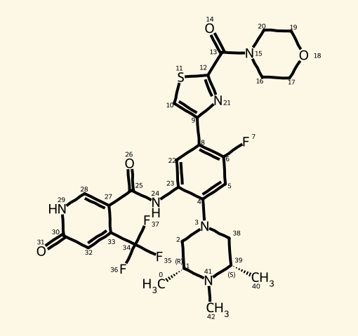 C[C@@H]1CN(c2cc(F)c(-c3csc(C(=O)N4CCOCC4)n3)cc2NC(=O)c2c[nH]c(=O)cc2C(F)(F)F)C[C@H](C)N1C